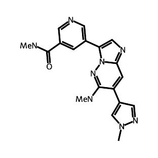 CNC(=O)c1cncc(-c2cnc3cc(-c4cnn(C)c4)c(NC)nn23)c1